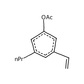 C=Cc1cc(CCC)cc(OC(C)=O)c1